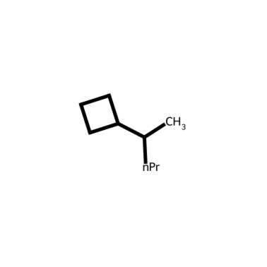 [CH2]CCC(C)C1CCC1